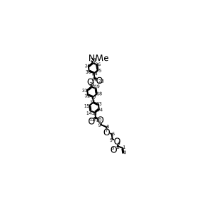 C=CC(=O)OCCOCCOC(=O)c1ccc(-c2ccc(OC(=O)c3ccc(NC)cc3)cc2)cc1